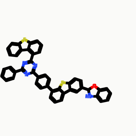 c1ccc(-c2nc(-c3ccc(-c4cccc5c4sc4ccc(C6Nc7ccccc7O6)cc45)cc3)nc(-c3cccc4sc5ccccc5c34)n2)cc1